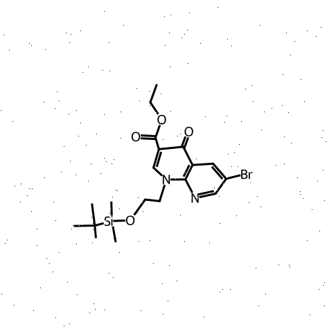 CCOC(=O)c1cn(CCO[Si](C)(C)C(C)(C)C)c2ncc(Br)cc2c1=O